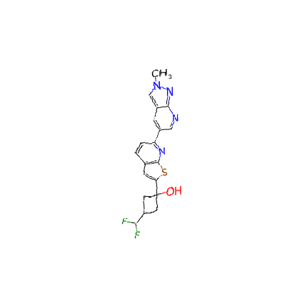 Cn1cc2cc(-c3ccc4cc(C5(O)CC(C(F)F)C5)sc4n3)cnc2n1